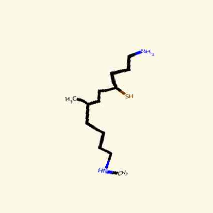 CNCCCCC(C)CCC(S)CCCN